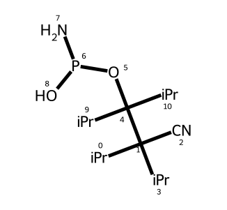 CC(C)C(C#N)(C(C)C)C(OP(N)O)(C(C)C)C(C)C